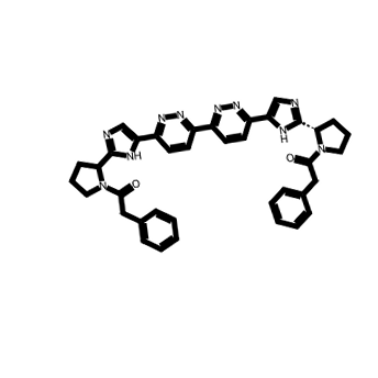 O=C([CH]c1ccccc1)N1CCCC1c1ncc(-c2ccc(-c3ccc(-c4cnc([C@@H]5CCCN5C(=O)[CH]c5ccccc5)[nH]4)nn3)nn2)[nH]1